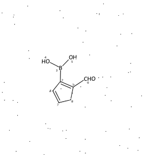 O=CC1=C(B(O)O)C=CC1